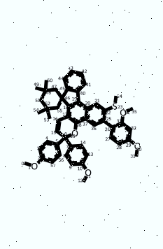 COc1ccc(C2(c3ccc(OC)cc3)C=Cc3c4c(c5cc(SC)c(-c6ccc(OC)cc6OC)cc5c3O2)-c2ccccc2C42CC(C)(C)CC(C)(C)C2)cc1